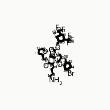 NCCCC[C@H]1C(=O)N(CC2CCCO2)C[C@@H]2N(C(=O)OCc3cc(C(F)(F)F)cc(C(F)(F)F)c3)C[C@H](Cc3ccc(Br)cc3)C(=O)N21